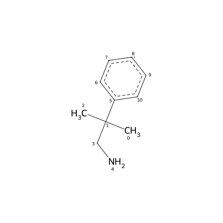 CC(C)(CN)c1cc[c]cc1